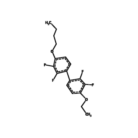 CCCCOc1ccc(-c2ccc(OCC)c(F)c2F)c(F)c1F